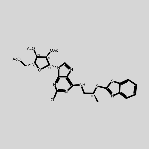 CC(=O)OC[C@H]1O[C@@H](n2cnc3c(NC[C@H](C)Sc4nc5ccccc5s4)nc(Cl)nc32)[C@H](OC(C)=O)[C@@H]1OC(C)=O